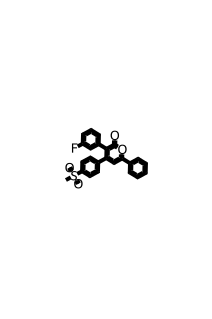 CS(=O)(=O)c1ccc(-c2cc(-c3ccccc3)oc(=O)c2-c2cccc(F)c2)cc1